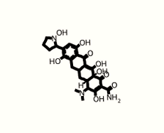 CN(C)C1C(O)=C(C(N)=O)C(=O)[C@@]2(O)C(O)=C3C(=O)c4c(O)cc(C5CCCN5O)c(O)c4CC3C[C@@H]12